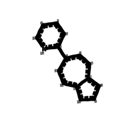 c1ccc(-c2ccc3cccc-3cc2)nc1